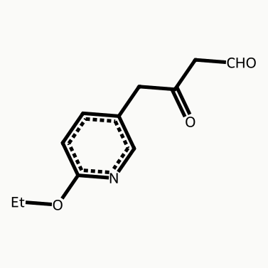 CCOc1ccc(CC(=O)CC=O)cn1